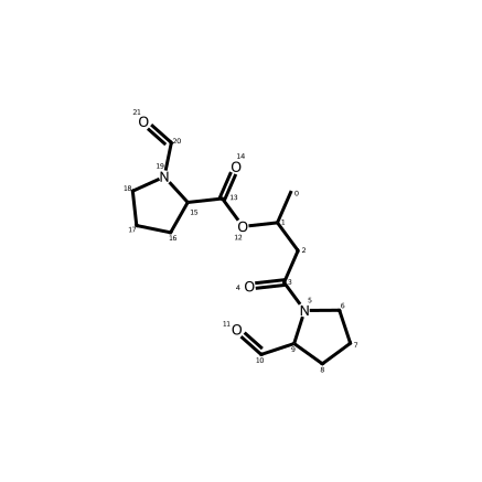 CC(CC(=O)N1CCCC1C=O)OC(=O)C1CCCN1C=O